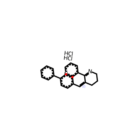 C(=C1\CCCN=C1c1cccnc1)/c1ccc(-c2ccccc2)cc1.Cl.Cl